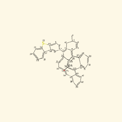 CC1C=Cc2c(c(-c3ccc4sc5ccccc5c4c3)c3ccccc3c2-c2ccccc2-c2cccc3ccccc23)C1